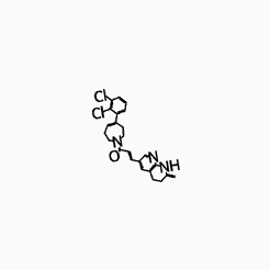 C=C1CCc2cc(/C=C/C(=O)N3CCC=C(c4cccc(Cl)c4Cl)CC3)cnc2N1